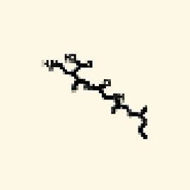 CCOC(C)SCC(=O)NCC(=O)NCC(=O)C(CCN)C(=O)O